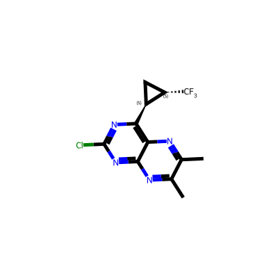 Cc1nc2nc(Cl)nc([C@H]3C[C@@H]3C(F)(F)F)c2nc1C